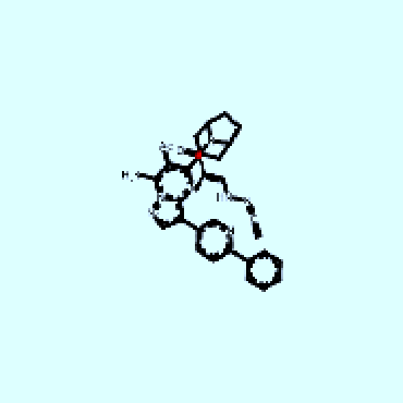 C=C=NN/C=C(\C)C(=O)N1C2CCC1CC(c1nc3c(-c4ccc(-c5ccccc5)nc4)cnn3c(N)c1C(C)=O)C2